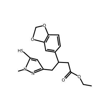 CCOC(=O)CC(Cc1cc(S)n(C)n1)c1ccc2c(c1)OCO2